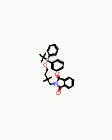 CC(C)(CCO[Si](c1ccccc1)(c1ccccc1)C(C)(C)C)CN1C(=O)c2ccccc2C1=O